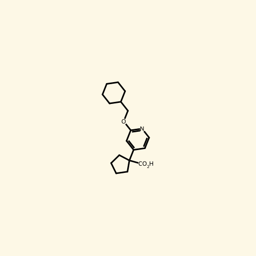 O=C(O)C1(c2ccnc(OCC3CCCCC3)c2)CCCC1